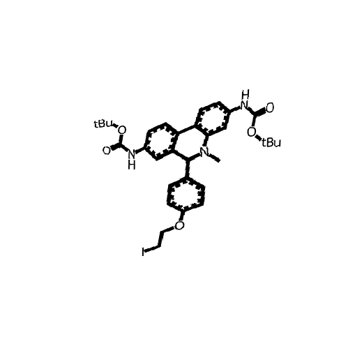 CN1c2cc(NC(=O)OC(C)(C)C)ccc2-c2ccc(NC(=O)OC(C)(C)C)cc2C1c1ccc(OCCI)cc1